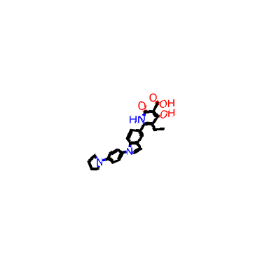 CCc1c(-c2ccc3c(ccn3-c3ccc(N4CCCC4)cc3)c2)[nH]c(=O)c(C(=O)O)c1O